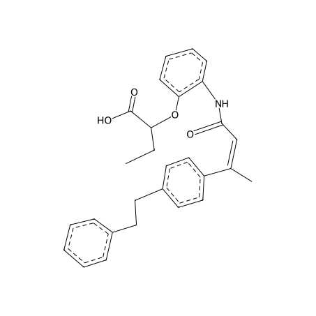 CCC(Oc1ccccc1NC(=O)C=C(C)c1ccc(CCc2ccccc2)cc1)C(=O)O